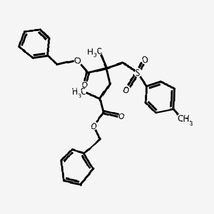 Cc1ccc(S(=O)(=O)CC(C)(CC(C)C(=O)OCc2ccccc2)C(=O)OCc2ccccc2)cc1